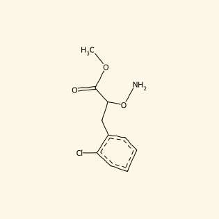 COC(=O)C(Cc1ccccc1Cl)ON